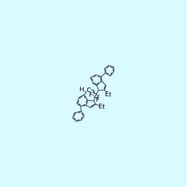 C[CH]=[Zr]([F])([F])([CH]1C(CC)=Cc2c(-c3ccccc3)cccc21)[CH]1C(CC)=Cc2c(-c3ccccc3)cccc21